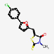 CN1C(=O)/C(=C/c2ccc(-c3ccc(Cl)cc3)o2)SC1=S